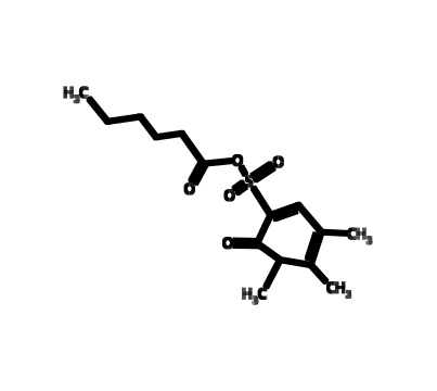 CCCCCC(=O)OS(=O)(=O)C1=CC(C)=C(C)C(C)C1=O